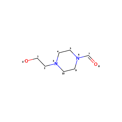 [O]CCN1CCN(C=O)CC1